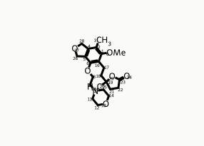 COc1c(C)c2c(c(OCCN3CCOCC3)c1CCC1(C)CCC(=O)O1)COC2